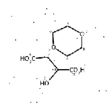 C1COCCO1.O=C(O)CC(O)C(=O)O